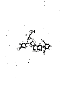 C[C@H](CO)OC[C@H](Oc1ncnc2nn(-c3c(C#N)cccc3C#N)cc12)C(=O)Nc1ccc(Cl)cn1